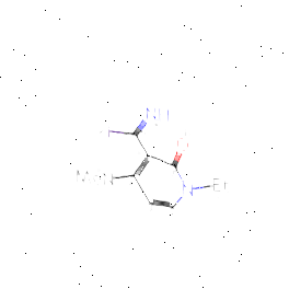 CCn1ccc(NC)c(C(=N)I)c1=O